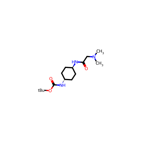 CN(C)CC(=O)N[C@H]1CC[C@H](NC(=O)OC(C)(C)C)CC1